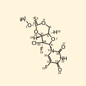 CC(C)O[P@]1(=S)OC[C@H]2O[C@@H](n3cc(F)c(=O)[nH]c3=O)[C@@](F)(Cl)[C@@H]2O1